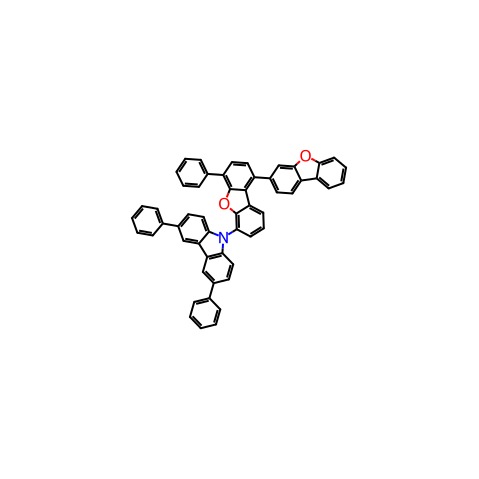 c1ccc(-c2ccc3c(c2)c2cc(-c4ccccc4)ccc2n3-c2cccc3c2oc2c(-c4ccccc4)ccc(-c4ccc5c(c4)oc4ccccc45)c23)cc1